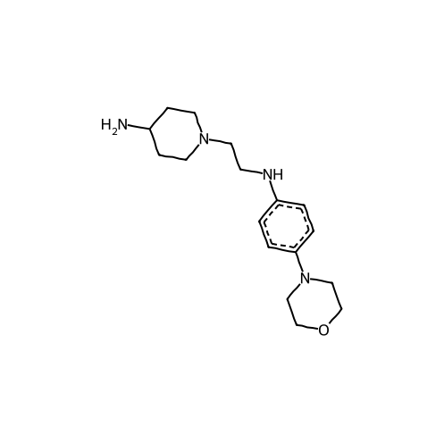 NC1CCN(CCNc2ccc(N3CCOCC3)cc2)CC1